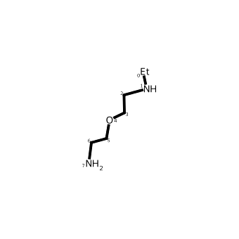 CCNCCOCCN